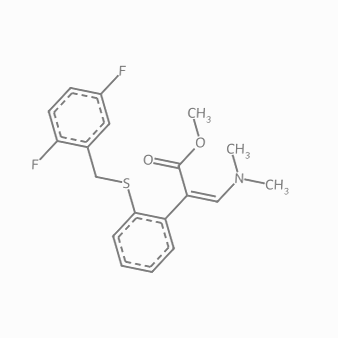 COC(=O)C(=CN(C)C)c1ccccc1SCc1cc(F)ccc1F